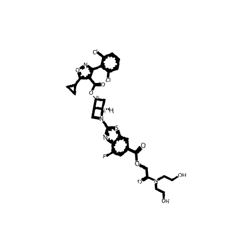 O=C(OCC(=O)N(CCO)CCO)c1cc(F)c2nc(N3CC4[C@H]3C[C@H]4OC(=O)c3c(-c4c(Cl)cccc4Cl)noc3C3CC3)sc2c1